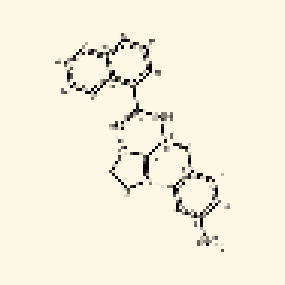 O=C(N[C@@H](Cc1ccc([N+](=O)[O-])cc1)C1=NCCO1)c1cccc2ccccc12